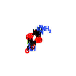 COOP1(=O)OC[C@H]2O[C@@H](n3ccc(=O)[nH]c3=O)[C@H](F)[C@@H]2OP(=O)(OOC)OC[C@H]2O[C@@H](n3cnc4c(N)ncnc43)[C@H](O1)[C@@H]2F